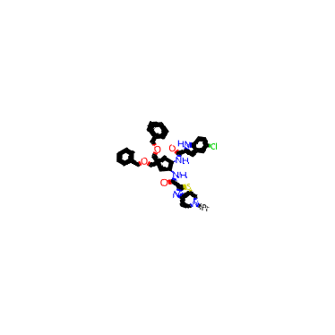 CC(C)N1CCc2nc(C(=O)N[C@H]3CC(COCc4ccccc4)(COCc4ccccc4)C[C@@H]3NC(=O)c3cc4cc(Cl)ccc4[nH]3)sc2C1